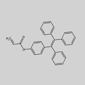 C=CC(=O)Oc1ccc(C(=C(c2ccccc2)c2ccccc2)c2ccccc2)cc1